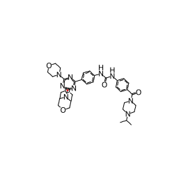 CC(C)N1CCN(C(=O)c2ccc(NC(=O)Nc3ccc(-c4nc(N5CCOCC5)nc(N5C6COCC5COC6)n4)cc3)cc2)CC1